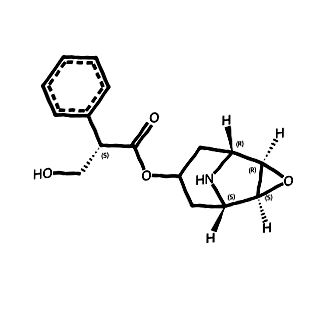 O=C(OC1C[C@@H]2N[C@H](C1)[C@H]1O[C@H]12)[C@H](CO)c1ccccc1